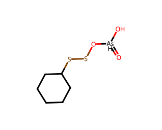 O=[AsH](O)OSSC1CCCCC1